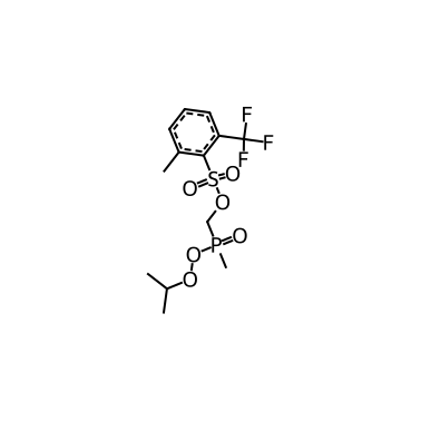 Cc1cccc(C(F)(F)F)c1S(=O)(=O)OCP(C)(=O)OOC(C)C